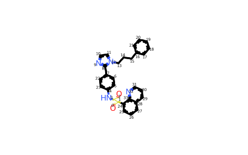 O=S(=O)(Nc1ccc(-c2nccn2CCCc2ccccc2)cc1)c1cccc2cccnc12